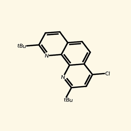 CC(C)(C)c1ccc2ccc3c(Cl)cc(C(C)(C)C)nc3c2n1